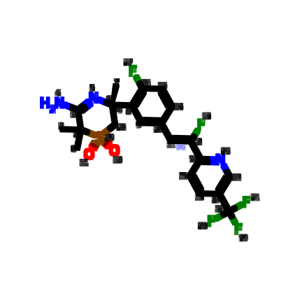 CC1(C)C(N)=N[C@](C)(c2cc(/C=C(\F)c3ccc(C(F)(F)F)cn3)ccc2F)CS1(=O)=O